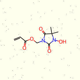 C=CC(=O)OCN1C(=O)N(O)C(C)(C)C1=O